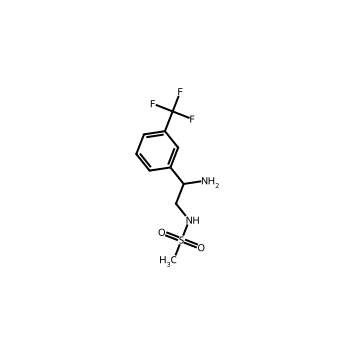 CS(=O)(=O)NCC(N)c1cccc(C(F)(F)F)c1